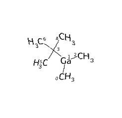 [CH3][Ga]([CH3])[C](C)(C)C